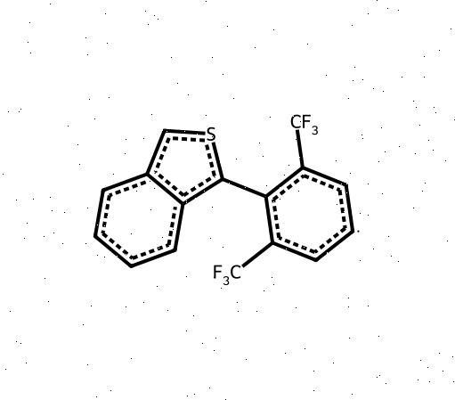 FC(F)(F)c1c[c]cc(C(F)(F)F)c1-c1scc2ccccc12